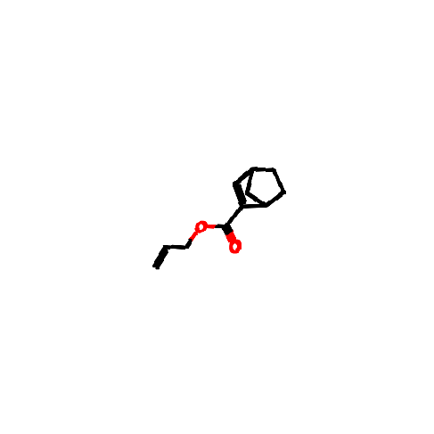 C=CCOC(=O)C1=CC2CCC1C2